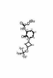 [2H]C([2H])([2H])OC1CC(n2cccc(NC(=O)OC(C)(C)C)c2=O)C1